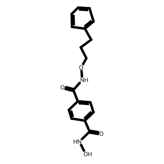 O=C(NO)c1ccc(C(=O)NOCCCc2ccccc2)cc1